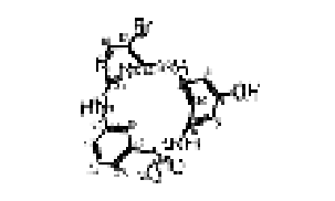 O=S1(=O)Nc2cc(O)cc(c2)Nc2nc(ncc2Br)Nc2cccc1c2